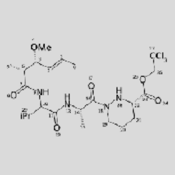 C/C=C/[C@@H](OC)[C@@H](C)C(=O)NC(C(=O)N[C@@H](C)C(=O)N1CCC[C@@H](C(=O)OCC(Cl)(Cl)Cl)N1)C(C)C